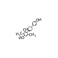 Cc1cc(O)c(C)c(C)c1C1=CCC(c2ccc(O)cc2)CC1